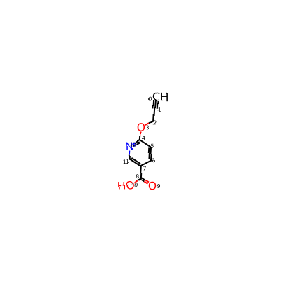 C#CCOc1ccc(C(=O)O)cn1